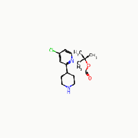 CC(C)(C)OC=O.Clc1ccnc(C2CCNCC2)c1